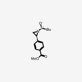 COC(=O)c1ccc([C@H]2CN2[S+]([O-])C(C)(C)C)cc1